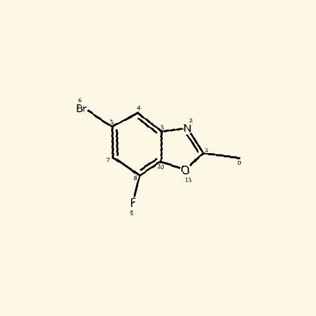 Cc1nc2cc(Br)cc(F)c2o1